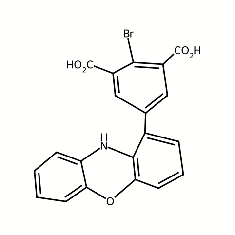 O=C(O)c1cc(-c2cccc3c2Nc2ccccc2O3)cc(C(=O)O)c1Br